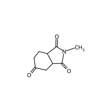 CN1C(=O)C2CCC(=O)CC2C1=O